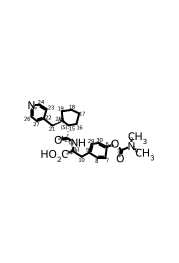 CN(C)C(=O)Oc1ccc(C[C@H](NC(=O)[C@H]2CCCC[C@@H]2Cc2ccncc2)C(=O)O)cc1